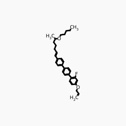 C=CCOc1ccc(-c2ccc(-c3ccc(C=CCCCC(C)OCCCCC)cc3)cc2)c(F)c1